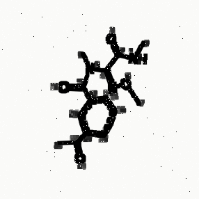 CNC(=O)C(=NOC)N(C)C(=O)c1cccc(C(C)=O)c1